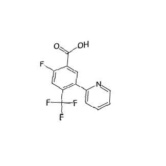 O=C(O)c1cc(-c2ccccn2)c(C(F)(F)F)cc1F